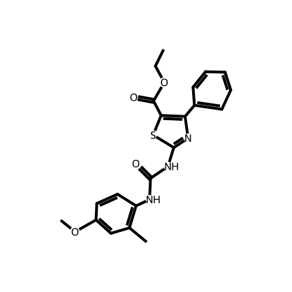 CCOC(=O)c1sc(NC(=O)Nc2ccc(OC)cc2C)nc1-c1ccccc1